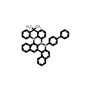 CC1(C)c2ccccc2N2c3c(cccc31)B1c3c(cc4ccccc4c32)-c2c(ccc3ccccc23)N1c1ccc(-c2ccccc2)cc1